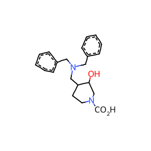 O=C(O)N1CCC(CN(Cc2ccccc2)Cc2ccccc2)C(O)C1